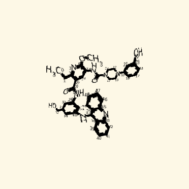 CCc1nc(OC)c(NC(=O)N2CCN(c3cccc(O)c3)CC2)cc1C(=O)Nc1cc(CO)cc(Nc2c3ccccc3nc3ccccc23)c1